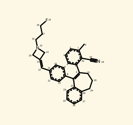 Cc1cccc(C2=C(c3ccc(C=C4CN(CCCF)C4)cc3)c3ccccc3CCC2)c1C#N